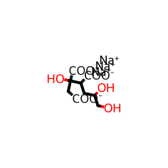 O=C([O-])CC(O)(C(=O)[O-])C(CC(O)CO)C(=O)[O-].[Na+].[Na+].[Na+]